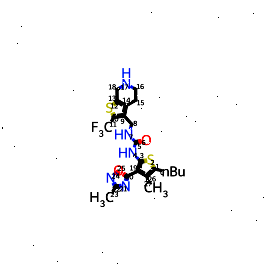 CCCCc1sc(NC(=O)NCc2c(C(F)(F)F)sc3c2CCNC3)c(-c2nc(C)no2)c1C